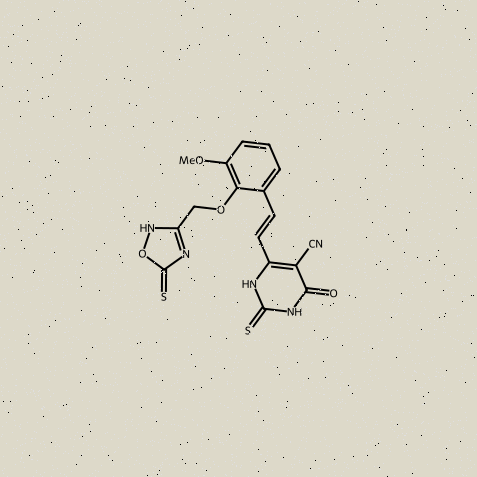 COc1cccc(C=Cc2[nH]c(=S)[nH]c(=O)c2C#N)c1OCc1nc(=S)o[nH]1